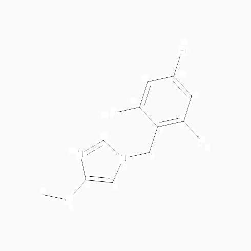 COc1cn(Cc2c(F)cc(Br)cc2F)cn1